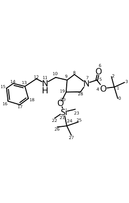 CC(C)(C)OC(=O)N1CC(CNCc2ccccc2)C(O[Si](C)(C)C(C)(C)C)C1